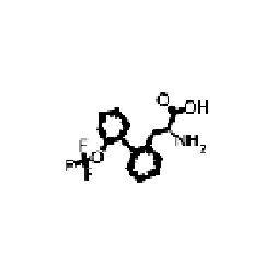 N[C@H](Cc1ccccc1-c1ccccc1OC(F)(F)F)C(=O)O